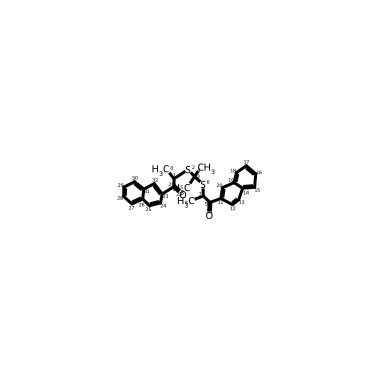 CC(SC(C)(C)SC(C)C(=O)c1ccc2ccccc2c1)C(=O)c1ccc2ccccc2c1